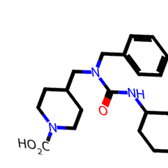 O=C(O)N1CCC(CN(Cc2ccccc2)C(=O)NC2CCCCC2)CC1